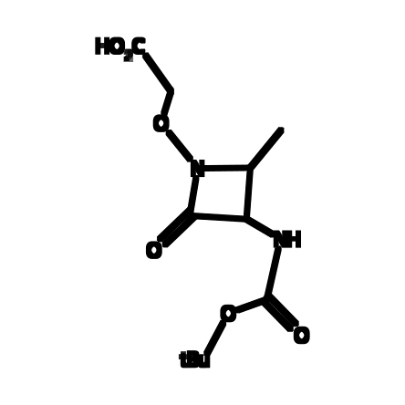 CC1C(NC(=O)OC(C)(C)C)C(=O)N1OCC(=O)O